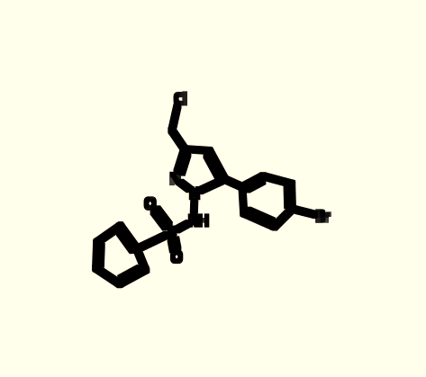 O=S(=O)(Nn1nc(CCl)cc1-c1ccc(Br)cc1)c1ccccc1